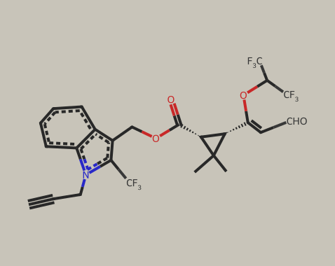 C#CCn1c(C(F)(F)F)c(COC(=O)[C@@H]2[C@H](C(=CC=O)OC(C(F)(F)F)C(F)(F)F)C2(C)C)c2ccccc21